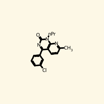 CCCn1c(=O)nc(-c2cccc(Cl)c2)c2ccc(C)nc21